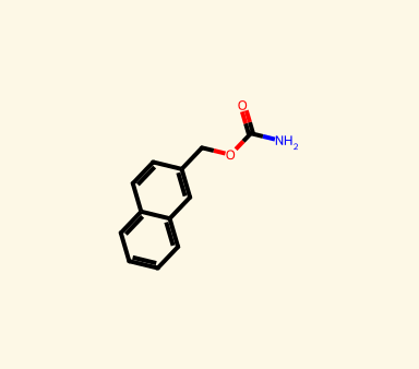 NC(=O)OCc1ccc2ccccc2c1